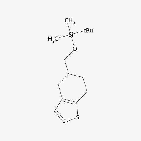 CC(C)(C)[Si](C)(C)OCC1CCc2sccc2C1